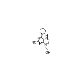 N#Cc1nc(N2CCCCC2)c2c(n1)N(CCO)CCN2